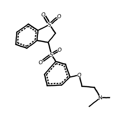 CN(C)CCOc1cccc(S(=O)(=O)C2CS(=O)(=O)c3ccccc32)c1